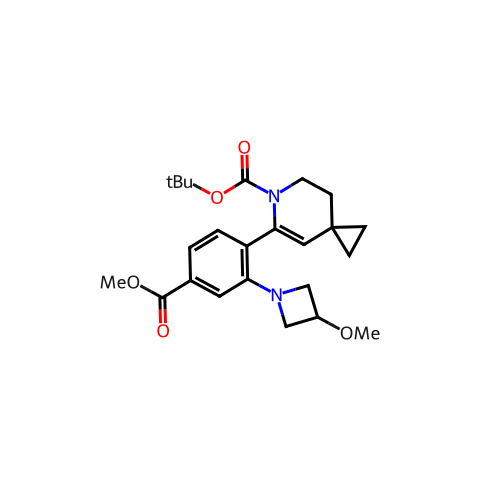 COC(=O)c1ccc(C2=CC3(CCN2C(=O)OC(C)(C)C)CC3)c(N2CC(OC)C2)c1